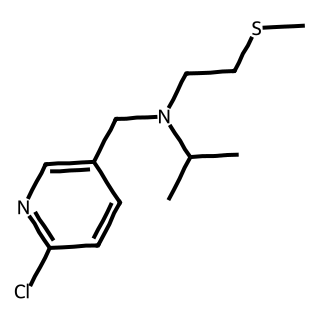 CSCCN(Cc1ccc(Cl)nc1)C(C)C